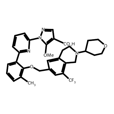 COc1c(C(=O)O)cnn1-c1cccc(-c2cccc(C)c2OCc2cc3c(c(C(F)(F)F)c2)CN(C2CCOCC2)CC3)n1